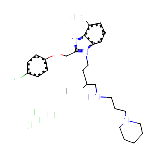 Cc1cccc2c1nc(COc1ccc(Cl)cc1)n2CCC(C)CNCCCN1CCCCC1.Cl.Cl.Cl